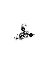 COc1ccc(C(NC(=O)/C=C/c2ccc(Cl)cc2)C(=O)N[C@H](C(=O)C(F)(F)C(=O)NCC(F)(F)F)C(C)C)cc1